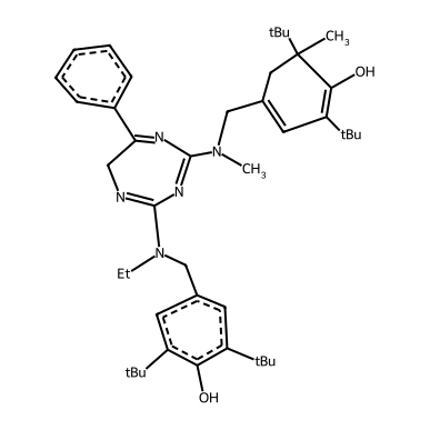 CCN(Cc1cc(C(C)(C)C)c(O)c(C(C)(C)C)c1)C1=NCC(c2ccccc2)=NC(N(C)CC2=CC(C(C)(C)C)=C(O)C(C)(C(C)(C)C)C2)=N1